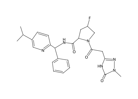 CC(C)c1ccc(C(NC(=O)C2CC(F)CN2C(=O)Cc2nn(C)c(=O)[nH]2)c2ccccc2)nc1